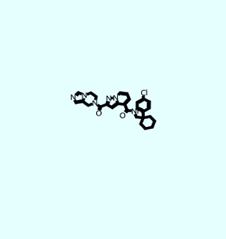 O=C(NCC1(c2ccc(Cl)cc2)CCCCC1)c1cccn2nc(C(=O)N3CCn4cncc4C3)cc12